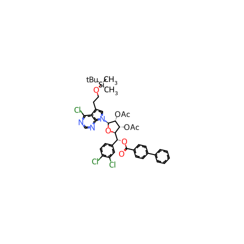 CC(=O)O[C@H]1[C@@H](OC(C)=O)[C@H](n2cc(CCO[Si](C)(C)C(C)(C)C)c3c(Cl)ncnc32)O[C@@H]1[C@H](OC(=O)c1ccc(-c2ccccc2)cc1)c1ccc(Cl)c(Cl)c1